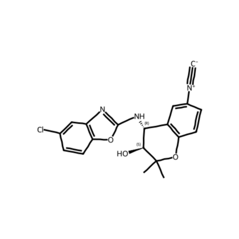 [C-]#[N+]c1ccc2c(c1)[C@@H](Nc1nc3cc(Cl)ccc3o1)[C@H](O)C(C)(C)O2